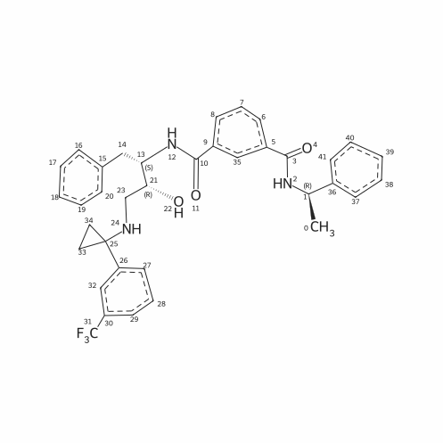 C[C@@H](NC(=O)c1cccc(C(=O)N[C@@H](Cc2ccccc2)[C@H](O)CNC2(c3cccc(C(F)(F)F)c3)CC2)c1)c1ccccc1